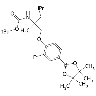 CC(C)CC(C)(COc1ccc(B2OC(C)(C)C(C)(C)O2)cc1F)NC(=O)OC(C)(C)C